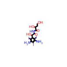 Nc1c(I)c(N)c(I)c(C(O)C(=O)NC(=O)C(O)CCO)c1I